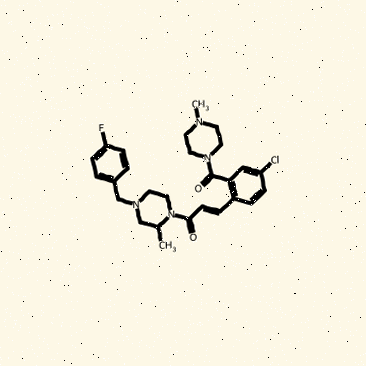 CC1CN(Cc2ccc(F)cc2)CCN1C(=O)C=Cc1ccc(Cl)cc1C(=O)N1CCN(C)CC1